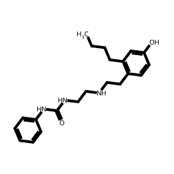 CCCCc1cc(O)ccc1CCNCCNC(=O)Nc1ccccc1